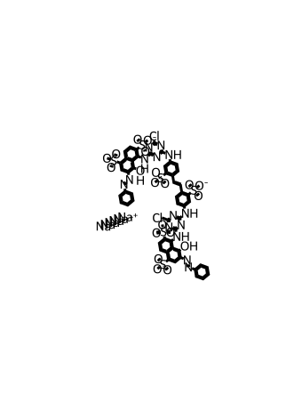 O=S(=O)([O-])c1cc(Nc2nc(Cl)nc(Nc3c(S(=O)(=O)[O-])ccc4c(S(=O)(=O)[O-])cc(N=Nc5ccccc5)c(O)c34)n2)ccc1C=Cc1ccc(Nc2nc(Cl)nc(Nc3c(S(=O)(=O)[O-])ccc4c(S(=O)(=O)[O-])cc(N=Nc5ccccc5)c(O)c34)n2)cc1S(=O)(=O)[O-].[Na+].[Na+].[Na+].[Na+].[Na+].[Na+]